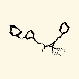 CC1(C)C(C=Cc2ccccc2)C1C(=O)OCc1cccc(Oc2ccccc2)c1